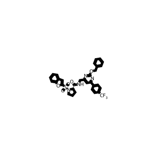 O=C(NCc1cc(-c2ccc(C(F)(F)F)cc2)nc(OCc2ccccc2)n1)[C@@H]1CCCN1S(=O)(=O)c1cc2ccccc2o1